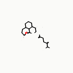 CC(C)C(=O)CCC(=O)O[C@@H]1O[C@@H]2O[C@@]3(C)CC[C@H]4[C@H](C)CC[C@@H]([C@H]1C)[C@@]24OO3